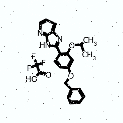 CC(C)Oc1cc(OCc2ccccc2)ccc1-c1nc2cccnc2[nH]1.O=C(O)C(F)(F)F